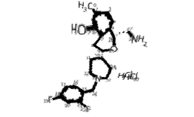 Cc1ccc2c(c1O)C[C@@H](C1CCN(Cc3ccc(F)cc3F)CC1)O[C@H]2CN.Cl.Cl